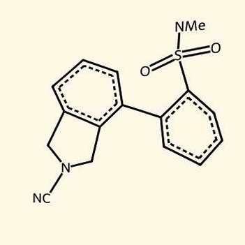 CNS(=O)(=O)c1ccccc1-c1cccc2c1CN(C#N)C2